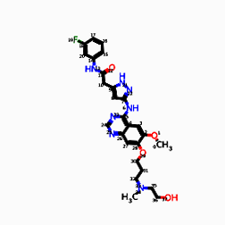 COc1cc2c(Nc3cc(CC(=O)Nc4cccc(F)c4)[nH]n3)ncnc2cc1OCCCN(C)CCO